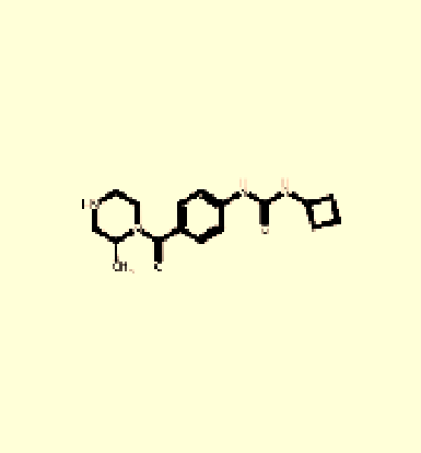 C[C@H]1CNCCN1C(=O)c1ccc(NC(=O)NC2CCC2)cc1